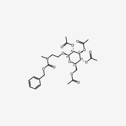 CC(=O)OC[C@H]1O[C@@H](OCCN(C)C(=O)OCc2ccccc2)[C@H](OC(C)=O)[C@@H](OC(C)=O)[C@@H]1OC(C)=O